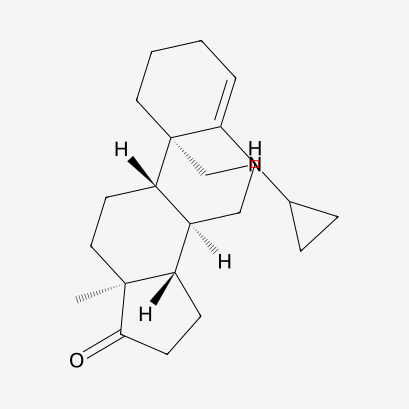 C[C@]12CC[C@H]3[C@@H](CCC4=CCCC[C@@]43CNC3CC3)[C@@H]1CCC2=O